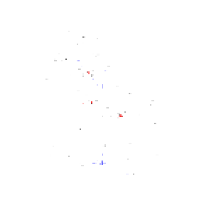 CCC(Nc1cc(C(=O)N[C@H]2C[C@H]3CC[C@@H](C2)N3c2ccc(C(=O)C3CC3)cn2)c(C)cc1C(N)=O)C(C)C